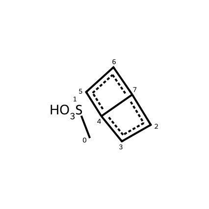 CS(=O)(=O)O.c1cc2ccc1-2